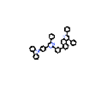 c1ccc(-c2cc(-c3ccc(-n4c5ccccc5c5ccccc54)cc3)nc(-c3cccc(-c4cccc5c4ccc4nc(-c6ccccc6)cc(-c6ccccc6)c45)c3)n2)cc1